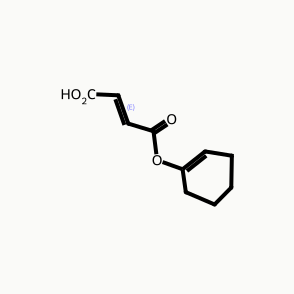 O=C(O)/C=C/C(=O)OC1=CCCCC1